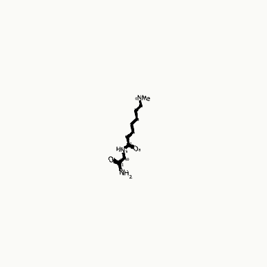 CNCCCCCCC(=O)NCC(N)=O